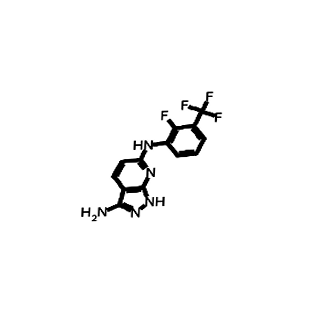 Nc1n[nH]c2nc(Nc3cccc(C(F)(F)F)c3F)ccc12